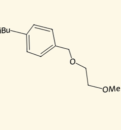 CCC(C)c1ccc(COCCOC)cc1